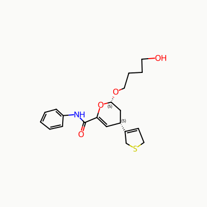 O=C(Nc1ccccc1)C1=C[C@@H](C2=CCSC2)C[C@@H](OCCCCO)O1